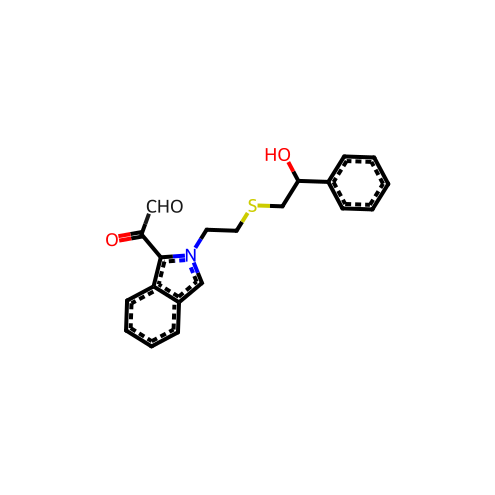 O=CC(=O)c1c2ccccc2cn1CCSCC(O)c1ccccc1